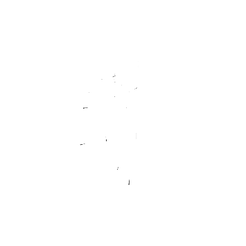 CC1=C2[C@H]3OC(=O)[C@@H](C)[C@@H]3CC[C@](C)(O)[C@@H]2[C@H]2[C@H]3CC4(C)O[C@@]5(C)CC[C@H]6[C@H](C)C(=O)O[C@@H]6[C@@]4([C@@H]35)[C@@H]12